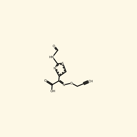 C#CCO/N=C(/C(=O)O)c1csc(NC=O)n1